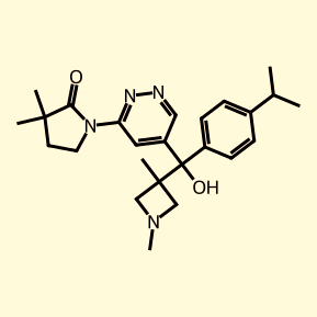 CC(C)c1ccc(C(O)(c2cnnc(N3CCC(C)(C)C3=O)c2)C2(C)CN(C)C2)cc1